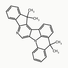 CC1(C)c2ccccc2-c2ncc3c(c21)c1cccc2c1n3-c1ccccc1C2(C)C